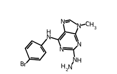 Cn1cnc2c(Nc3ccc(Br)cc3)nc(NN)nc21